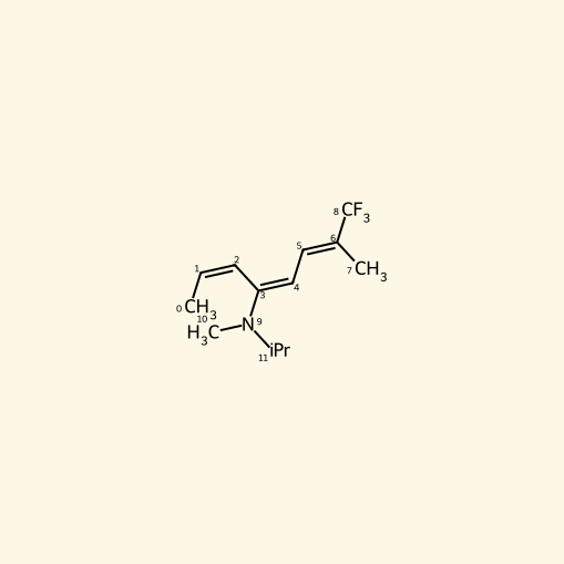 C\C=C/C(=C\C=C(/C)C(F)(F)F)N(C)C(C)C